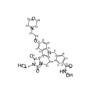 CN1C(=O)C2c3c(n(Cc4ccc(C(=O)NO)cc4)c4ccc(OCCN5CCOCC5)cc34)CCN2C1=O.Cl